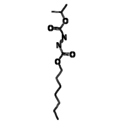 CCCCCCCOC(=O)N=NC(=O)OC(C)C